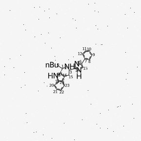 CCCCC1NC(c2nc(-c3ccccc3)c[nH]2)Cc2c1[nH]c1ccccc21